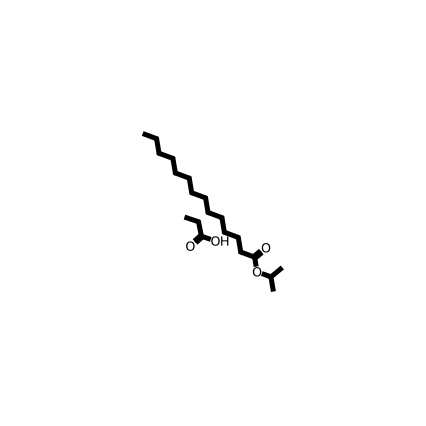 CCC(=O)O.CCCCCCCCCCCCCC(=O)OC(C)C